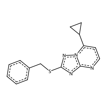 c1ccc(CSc2nc3nccc(C4CC4)n3n2)cc1